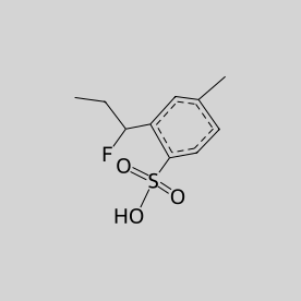 CCC(F)c1cc(C)ccc1S(=O)(=O)O